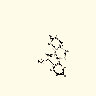 CC(Nc1ncnc2ccncc12)c1ccccc1